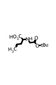 C=CCC(NCC(=O)OC(C)(C)C)C(=O)O